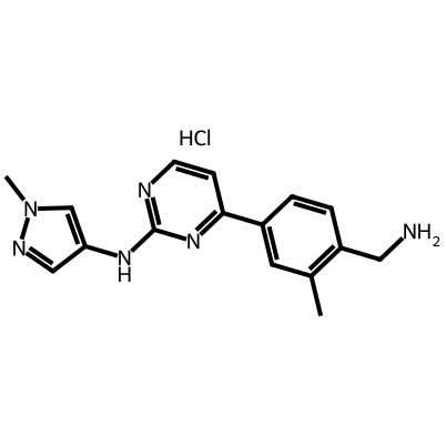 Cc1cc(-c2ccnc(Nc3cnn(C)c3)n2)ccc1CN.Cl